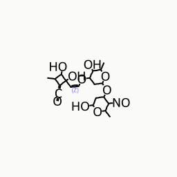 CC1OC(OC2CC(O)OC(C)C2N=O)CC(O/C=C\C2(O)C(=C=O)C(C)C2O)C1O